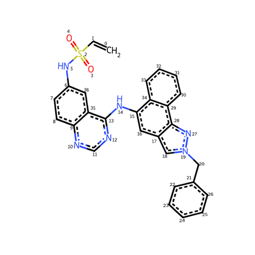 C=CS(=O)(=O)Nc1ccc2ncnc(Nc3cc4cn(Cc5ccccc5)nc4c4ccccc34)c2c1